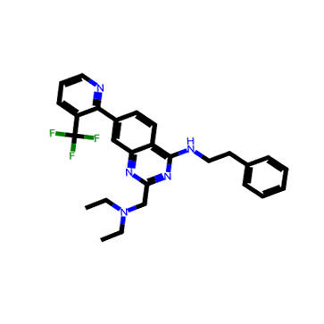 CCN(CC)Cc1nc(NCCc2ccccc2)c2ccc(-c3ncccc3C(F)(F)F)cc2n1